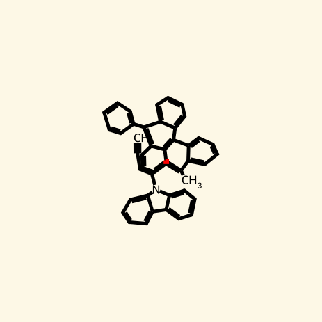 C#C/C=C(\C=C(/C)c1ccccc1-c1c2ccccc2c(-c2ccccc2)c2ccccc12)n1c2ccccc2c2ccccc21